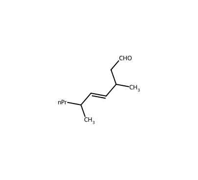 CCCC(C)C=CC(C)CC=O